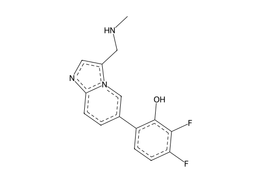 CNCc1cnc2ccc(-c3ccc(F)c(F)c3O)cn12